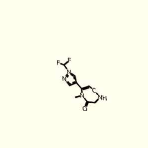 CN1C(=O)CNCC=C1c1cnn(C(F)F)c1